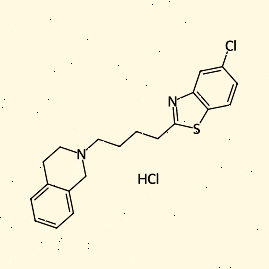 Cl.Clc1ccc2sc(CCCCN3CCc4ccccc4C3)nc2c1